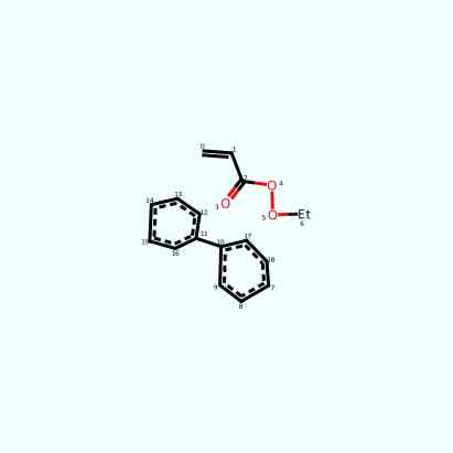 C=CC(=O)OOCC.c1ccc(-c2ccccc2)cc1